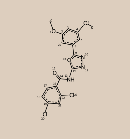 COc1cc(OC)cc(-c2nnc(NC(=O)c3ccc(Cl)cc3Cl)o2)c1